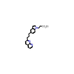 CCOC(=O)CCn1ccc2cc(CCCc3ccc4cccnc4n3)ccc21